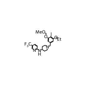 CCOc1cc(CN2CCC(Nc3ccc(C(F)(F)F)cn3)CC2)cc(OCOC)c1I